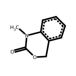 CN1C(=O)OCc2ccccc21